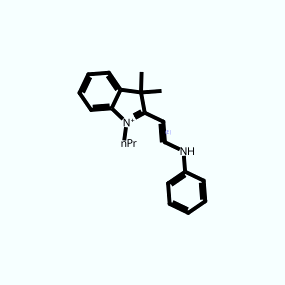 CCC[N+]1=C(/C=C/Nc2ccccc2)C(C)(C)c2ccccc21